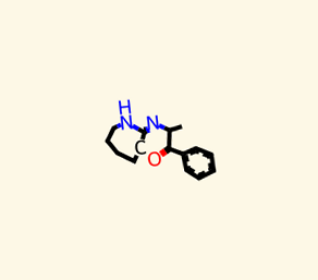 CC(N=C1CCCCCN1)C(=O)c1ccccc1